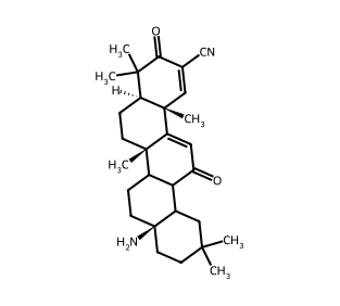 CC1(C)CC[C@]2(N)CCC3C(C(=O)C=C4[C@@]3(C)CC[C@H]3C(C)(C)C(=O)C(C#N)=C[C@]43C)C2C1